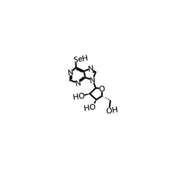 OC[C@H]1OC(n2cnc3c([SeH])ncnc32)[C@H](O)[C@@H]1O